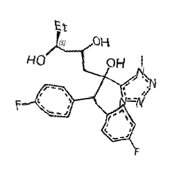 CC[C@H](O)C(O)CC(O)(c1nnnn1C)C(c1ccc(F)cc1)c1ccc(F)cc1